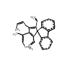 C=CC1=C(/C=C\C)C(/C(C)=C\C)=C(C=C)C12c1ccccc1-c1ccccc12